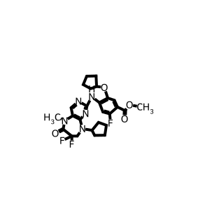 COC(=O)c1cc(OC2CCCC2)c(Nc2ncc3c(n2)N(C2CCCC2)CC(F)(F)C(=O)N3C)cc1F